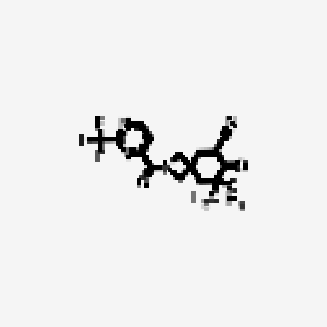 CC1(C)CC2(C=C(C#N)C1=O)CN(C(=O)c1ccnc(C(F)(F)F)n1)C2